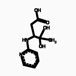 BC(O)(O)C(CC(=O)O)Nc1ccccn1